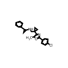 Cc1oc(-c2ccc(Cl)cc2)nc1C1(CNC2CC2c2ccccc2)CC1